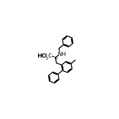 Cc1ccc(-c2ccccc2)c(C[C@H](NCc2ccccc2)C(=O)O)c1.Cl